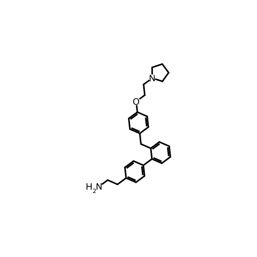 NCCc1ccc(-c2ccccc2Cc2ccc(OCCN3CCCC3)cc2)cc1